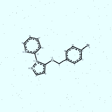 Brc1ccc(COc2ccnn2-c2ccccn2)cc1